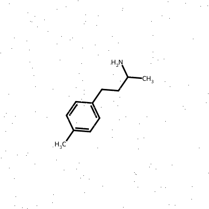 Cc1ccc(CCC(C)N)cc1